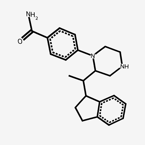 CC(C1CCc2ccccc21)C1CNCCN1c1ccc(C(N)=O)cc1